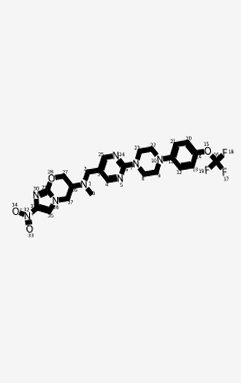 CN(Cc1cnc(N2CCN(c3ccc(OC(F)(F)F)cc3)CC2)nc1)C1COc2nc([N+](=O)[O-])cn2C1